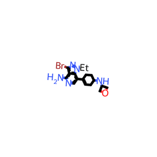 CCn1nc(Br)c2c(N)ncc(C3=CCC(NC4COC4)CC3)c21